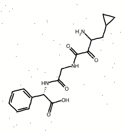 NC(CC1CC1)C(=O)C(=O)NCC(=O)N[C@H](C(=O)O)c1ccccc1